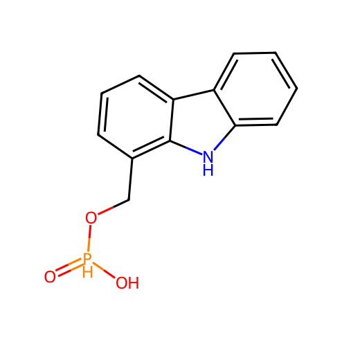 O=[PH](O)OCc1cccc2c1[nH]c1ccccc12